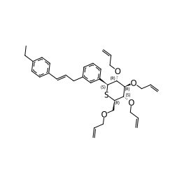 C=CCOC[C@H]1S[C@@H](c2cccc(CC=Cc3ccc(CC)cc3)c2)[C@H](OCC=C)[C@@H](OCC=C)[C@@H]1OCC=C